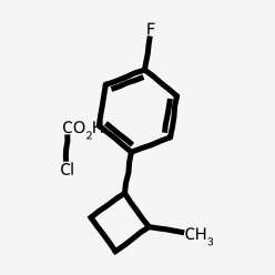 CC1CCC1c1ccc(F)cc1.O=C(O)Cl